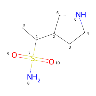 CC(C1CCNC1)S(N)(=O)=O